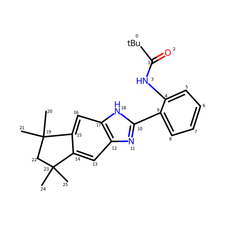 CC(C)(C)C(=O)Nc1ccccc1-c1nc2cc3c(cc2[nH]1)C(C)(C)CC3(C)C